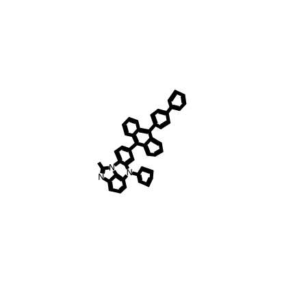 Cc1nc2cccc3c2n1-c1ccc(-c2c4ccccc4c(-c4ccc(-c5ccccc5)cc4)c4ccccc24)cc1N3c1ccccc1